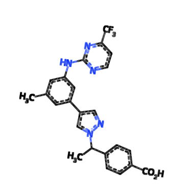 Cc1cc(Nc2nccc(C(F)(F)F)n2)cc(-c2cnn(C(C)c3ccc(C(=O)O)cc3)c2)c1